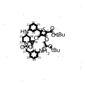 CC(C)(C)OC(=O)COc1c(C(=O)OC(C)(C)C)sc(-c2cccc(NC3CCN(S(=O)(=O)Cc4cccc(N)c4)C4(CC4)C3)c2)c1Cl